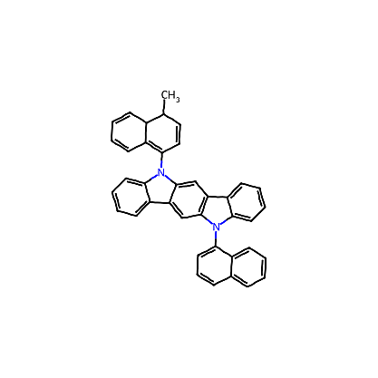 CC1C=CC(n2c3ccccc3c3cc4c(cc32)c2ccccc2n4-c2cccc3ccccc23)=C2C=CC=CC21